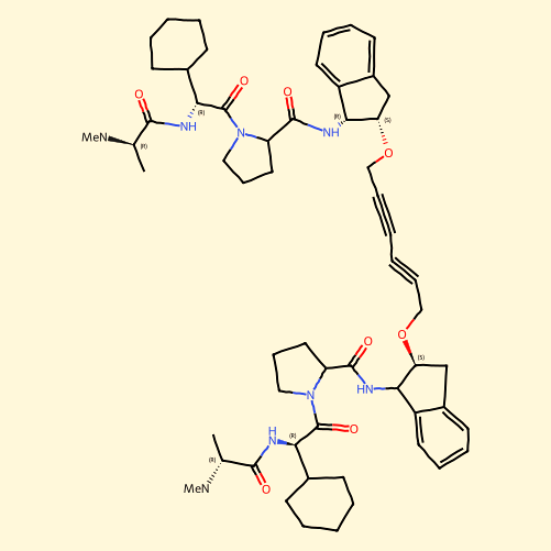 CN[C@H](C)C(=O)N[C@@H](C(=O)N1CCCC1C(=O)NC1c2ccccc2C[C@@H]1OCC#CC#CCO[C@H]1Cc2ccccc2[C@H]1NC(=O)C1CCCN1C(=O)[C@H](NC(=O)[C@@H](C)NC)C1CCCCC1)C1CCCCC1